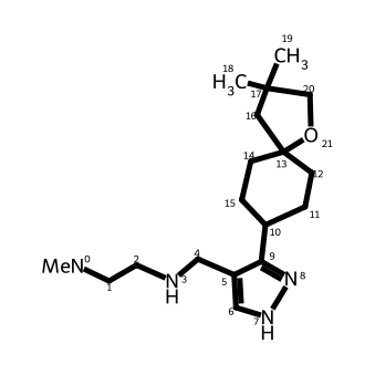 CNCCNCc1c[nH]nc1C1CCC2(CC1)CC(C)(C)CO2